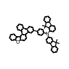 CC1(C)c2ccccc2-c2ccc(N(c3ccc(-c4ccc5c6ccccc6c6c(ccc7oc8ccccc8c76)c5c4)cc3)c3cccc4c3C(C)(C)c3ccccc3-4)cc21